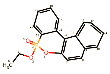 CCOP1(=O)Oc2ccc3ccccc3c2-c2ccccc21